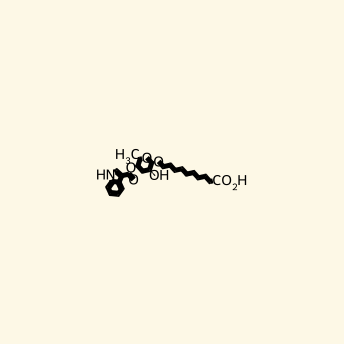 C[C@@H]1O[C@@H](OCCCCCCCCCC(=O)O)[C@H](O)C[C@H]1OC(=O)c1c[nH]c2ccccc12